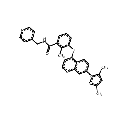 Cc1cc(C)n(-c2ccc3c(Oc4cccc(C(=O)NCc5ccncc5)c4C)ccnc3c2)n1